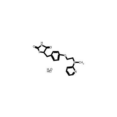 CN(CCOc1ccc(CC2SC(=O)NC2=O)cc1)c1ccccn1.Cl.O